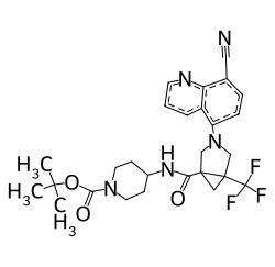 CC(C)(C)OC(=O)N1CCC(NC(=O)C23CN(c4ccc(C#N)c5ncccc45)CC2(C(F)(F)F)C3)CC1